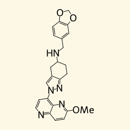 COc1ccc2nccc(-n3cc4c(n3)CCC(NCc3ccc5c(c3)OCO5)C4)c2n1